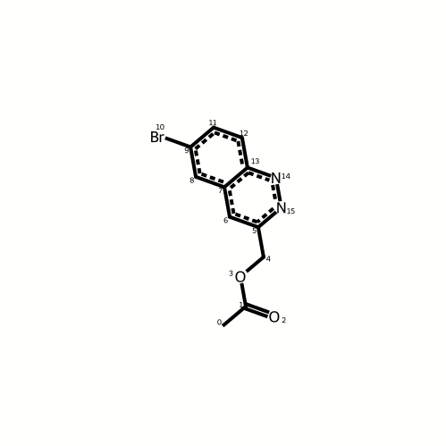 CC(=O)OCc1cc2cc(Br)ccc2nn1